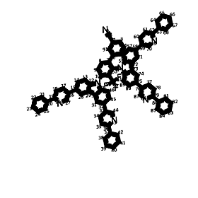 N#Cc1cccc(-c2ccc(-n3c4ccc(-c5ccc(-c6ccccc6)nc5)cc4c4cc(-c5ccc(-c6ccccc6)nc5)ccc43)c(C(F)(F)F)c2-n2c3ccc(-c4ccc(-c5ccccc5)nc4)cc3c3cc(-c4ccc(-c5ccccc5)nc4)ccc32)c1